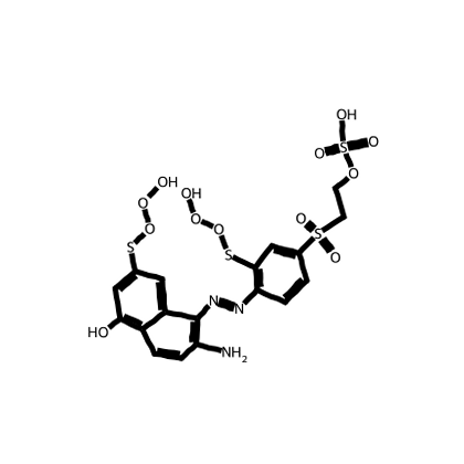 Nc1ccc2c(O)cc(SOOO)cc2c1N=Nc1ccc(S(=O)(=O)CCOS(=O)(=O)O)cc1SOOO